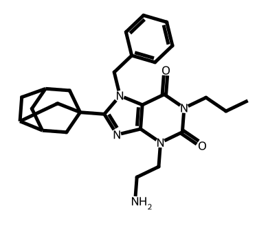 CCCn1c(=O)c2c(nc(C34CC5CC(C3)C(C5)C4)n2Cc2ccccc2)n(CCN)c1=O